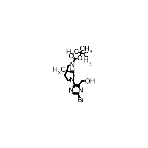 CC1(CNC(=O)OC(C)(C)C)CCN(c2ncc(Br)nc2CO)CC1